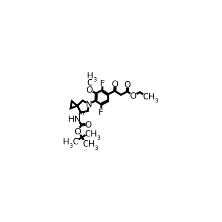 CCOC(=O)CC(=O)c1cc(F)c(N2C[C@@H](NC(=O)OC(C)(C)C)C3(CC3)C2)c(OC)c1F